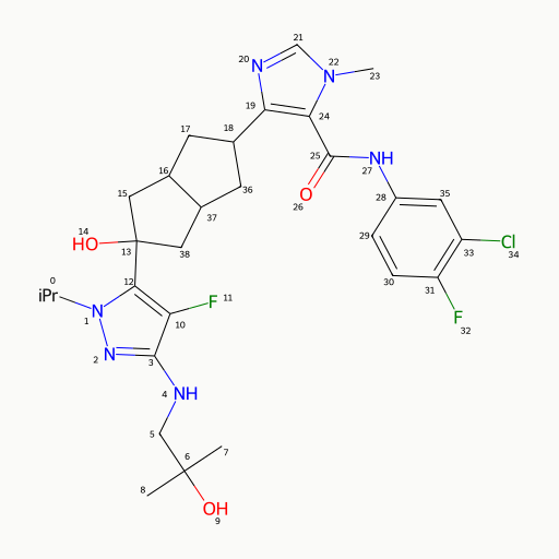 CC(C)n1nc(NCC(C)(C)O)c(F)c1C1(O)CC2CC(c3ncn(C)c3C(=O)Nc3ccc(F)c(Cl)c3)CC2C1